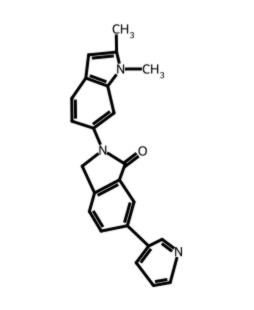 Cc1cc2ccc(N3Cc4ccc(-c5cccnc5)cc4C3=O)cc2n1C